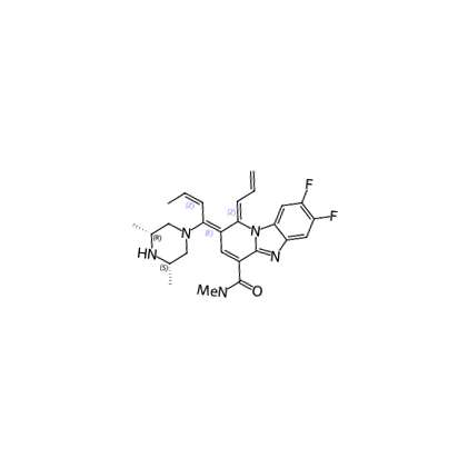 C=C/C=c1/c(=C(\C=C/C)N2C[C@@H](C)N[C@@H](C)C2)cc(C(=O)NC)c2nc3cc(F)c(F)cc3n12